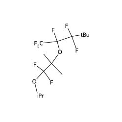 CC(C)OC(F)(F)C(C)(C)OC(F)(C(F)(F)F)C(F)(F)C(C)(C)C